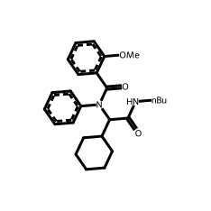 CCCCNC(=O)C(C1CCCCC1)N(C(=O)c1ccccc1OC)c1ccccc1